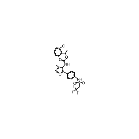 Cc1noc(-c2ccc(NS(=O)(=O)CC(F)(F)F)cc2)c1NC(=O)OC(C)c1ccccc1Cl